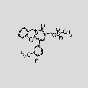 Cc1cc(-c2cc(COS(C)(=O)=O)c(=O)n(Cc3ccccc3Cl)n2)ccc1F